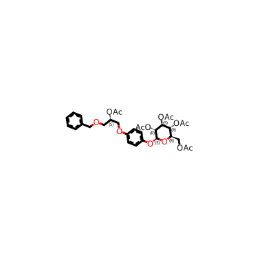 CC(=O)OC[C@H]1O[C@@H](Oc2ccc(OC[C@H](COCc3ccccc3)OC(C)=O)cc2)[C@H](OC(C)=O)[C@@H](OC(C)=O)[C@@H]1OC(C)=O